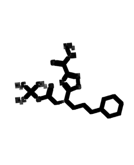 CC(C)(C)OC(=O)C[C@@H](CCCC1CCCCC1)c1nc(C(=O)NN)no1